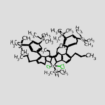 CCCC1=Cc2c(ccc(CCC)c2-c2cc([Si](C)(C)C)cc([Si](C)(C)C)c2)[CH]1[Zr]([Cl])([Cl])([CH]1C(CCC)=Cc2c1ccc(CCC)c2-c1cc([Si](C)(C)C)cc([Si](C)(C)C)c1)[SiH](C)C